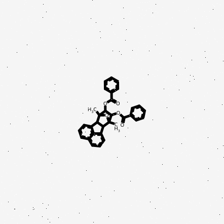 CC12OC(C)(C(OC(=O)c3ccccc3)C1OC(=O)c1ccccc1)C1c3cccc4cccc(c34)C12